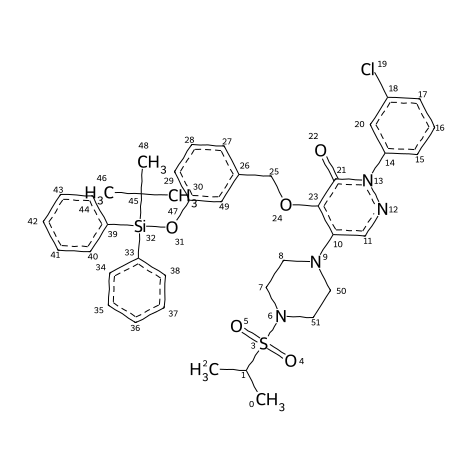 CC(C)S(=O)(=O)N1CCN(c2cnn(-c3cccc(Cl)c3)c(=O)c2OCc2cccc(O[Si](c3ccccc3)(c3ccccc3)C(C)(C)C)c2)CC1